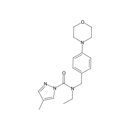 CCN(Cc1ccc(N2CCOCC2)cc1)C(=O)n1cc(C)cn1